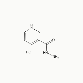 Cl.NNC(=O)C1=CC=CNS1